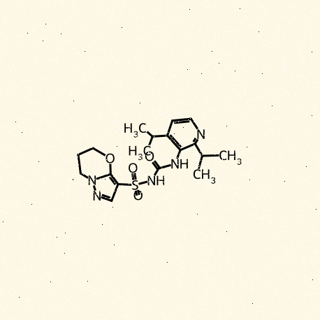 CC(C)c1ccnc(C(C)C)c1NC(=O)NS(=O)(=O)c1cnn2c1OCCC2